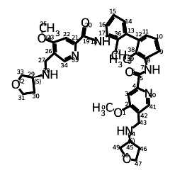 COc1cc(C(=O)Nc2cccc(-c3cccc(NC(=O)c4cc(OC)c(CN[C@H]5CCOC5)cn4)c3C)c2C)ncc1CN[C@H]1CCOC1